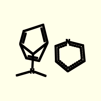 CN(C)C1C2=CC=C1C=C2.c1ccncc1